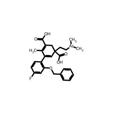 CC1=C(C(=O)O)CC(CC[As](C)C)(C(=O)O)C=C1c1ccc(F)cc1OCc1ccccc1